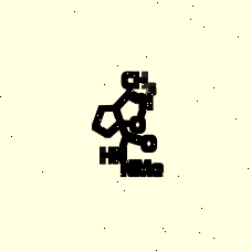 CNNC(=O)C12CCCC1C(C)=NO2